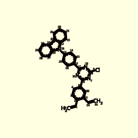 C=Cc1ccc(-c2nc(Cl)nc(-c3ccc(-n4c5ccccc5c5ccccc54)cc3)n2)cc1C=C